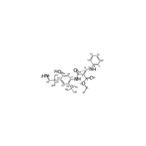 CCOC(=O)/C(=C\Nc1ccccc1)C(=O)Nc1cc(O)c(C(C)(C)C=N)cc1C(C)(C)C